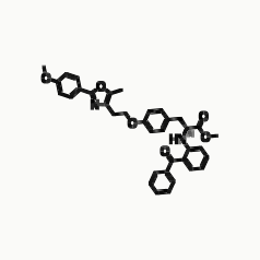 COC(=O)[C@H](Cc1ccc(OCCc2nc(-c3ccc(OC)cc3)oc2C)cc1)Nc1ccccc1C(=O)c1ccccc1